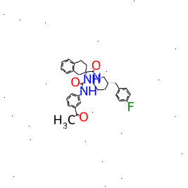 CC(=O)c1cccc(NC(=O)NC2(C(=O)N3CCC[C@@H](Cc4ccc(F)cc4)C3)CCc3ccccc3C2)c1